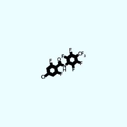 O=C(Nc1c(F)c(F)c(C(F)(F)F)c(F)c1F)c1c(F)cc(Cl)cc1F